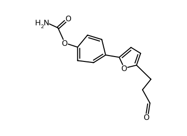 NC(=O)Oc1ccc(-c2ccc(CCC=O)o2)cc1